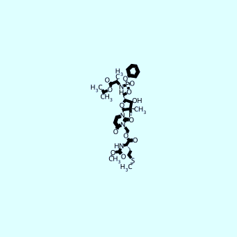 COC(=O)N[C@@H](CCSC)C(=O)OCn1c(=O)ccn([C@@H]2O[C@H](COP(=O)(N[C@@H](C)C(=O)OC(C)C)Oc3ccccc3)[C@@H](O)[C@@]2(C)F)c1=O